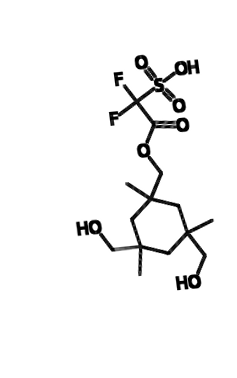 CC1(CO)CC(C)(CO)CC(C)(COC(=O)C(F)(F)S(=O)(=O)O)C1